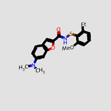 CCc1cccc(OC)c1SNC(=O)c1cc2ccc(N(C)C)cc2o1